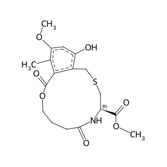 COC(=O)[C@@H]1CSCc2c(O)cc(OC)c(C)c2C(=O)OCCCC(=O)N1